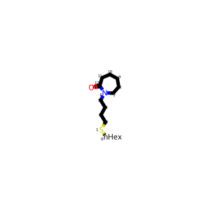 CCCCCCSCCCCN1CCCCCC1=O